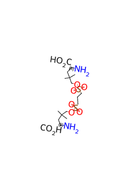 CC(C)(COS(=O)(=O)CCCS(=O)(=O)OCC(C)(C)C[C@@H](N)C(=O)O)C[C@@H](N)C(=O)O